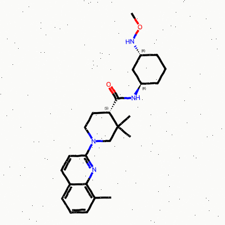 CON[C@@H]1CCC[C@@H](NC(=O)[C@H]2CCN(c3ccc4cccc(C)c4n3)CC2(C)C)C1